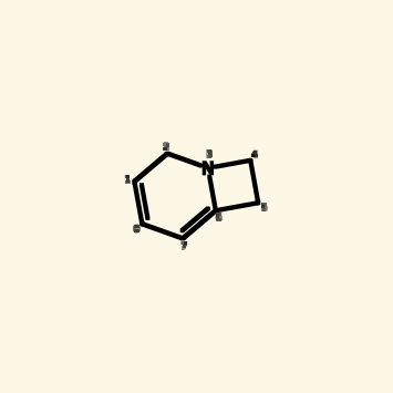 C1=CCN2CCC2=C1